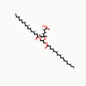 CCCCCCCCCCCCCCCC(=O)OCC(COC(=O)CCCCCCCCCCCCCCC)OC(C)(CC)CCCC(=O)O